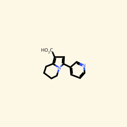 O=C(O)c1cc(-c2cccnc2)n2c1CCCC2